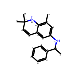 Cc1cc(NC(C)c2ccccc2)cc2c1NC(C)(C)C=C2